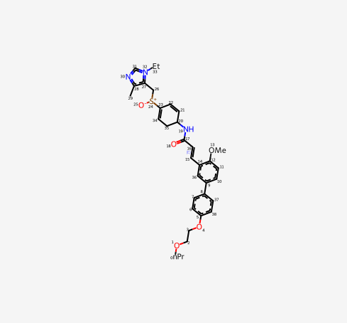 CCCOCCOc1ccc(-c2ccc(OC)c(/C=C/C(=O)NC3C=CC([S+]([O-])Cc4c(C)ncn4CC)=CC3)c2)cc1